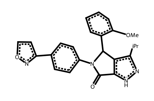 COc1ccccc1C1c2c(C(C)C)n[nH]c2C(=O)N1c1ccc(-c2ccon2)cc1